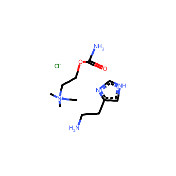 C[N+](C)(C)CCOC(N)=O.NCCc1c[nH]cn1.[Cl-]